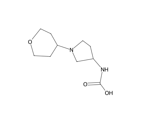 O=C(O)NC1CCN(C2CCOCC2)C1